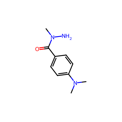 CN(N)C(=O)c1ccc(N(C)C)cc1